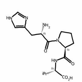 CC(C)[C@H](NC(=O)[C@@H]1CCCN1C(=O)[C@@H](N)Cc1c[nH]cn1)C(=O)O